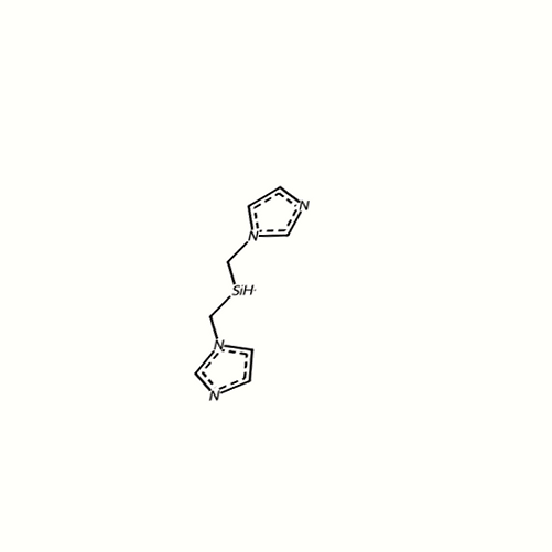 c1cn(C[SiH]Cn2ccnc2)cn1